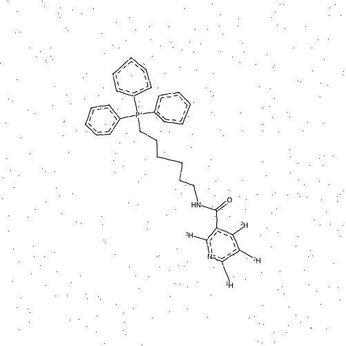 [2H]c1nc([2H])c(C(=O)NCCCCCC[P+](c2ccccc2)(c2ccccc2)c2ccccc2)c([2H])c1[2H]